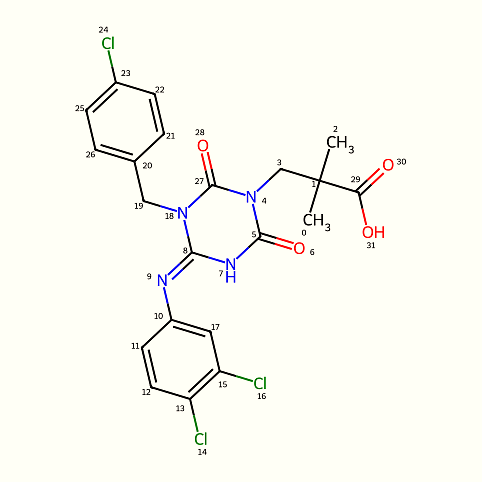 CC(C)(Cn1c(=O)[nH]/c(=N\c2ccc(Cl)c(Cl)c2)n(Cc2ccc(Cl)cc2)c1=O)C(=O)O